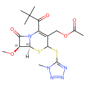 CO[C@H]1C(=O)N2C(C(=O)C(C)(C)C)=C(COC(C)=O)C(Sc3nnnn3C)S[C@@H]12